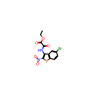 CCOC(=O)C(=O)Nc1c([N+](=O)[O-])sc2ccc(Br)cc12